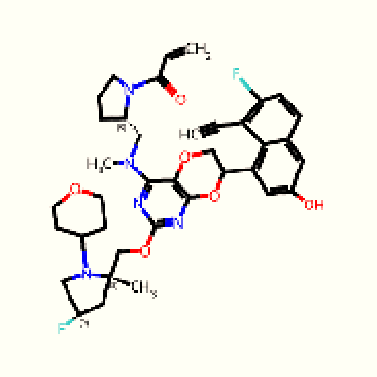 C#Cc1c(F)ccc2cc(O)cc(C3COc4c(nc(OC[C@]5(C)C[C@@H](F)CN5C5CCOCC5)nc4N(C)C[C@@H]4CCCN4C(=O)C=C)O3)c12